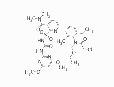 CCOCN(C(=O)CCl)c1c(C)cccc1CC.COc1cc(OC)nc(NC(=O)NS(=O)(=O)c2ncccc2C(=O)N(C)C)n1